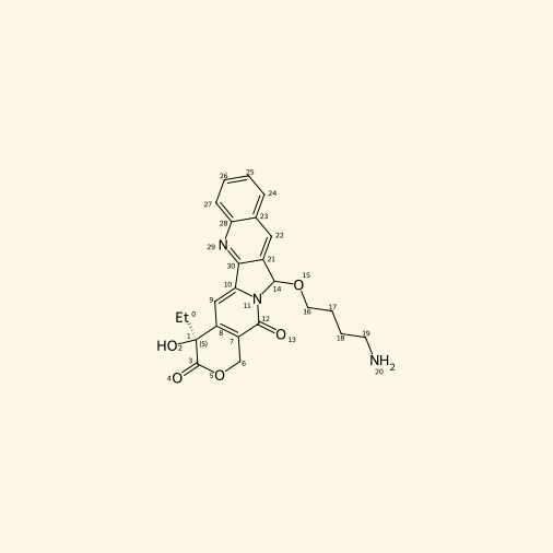 CC[C@@]1(O)C(=O)OCc2c1cc1n(c2=O)C(OCCCCN)c2cc3ccccc3nc2-1